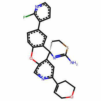 NC1=N[C@]2(CCS1)c1cc(-c3cccnc3F)ccc1Oc1cnc(C3=CCOCC3)cc12